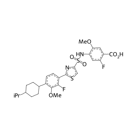 COc1cc(C(=O)O)c(F)cc1NS(=O)(=O)c1csc(-c2ccc(C3CCC(C(C)C)CC3)c(OC)c2F)n1